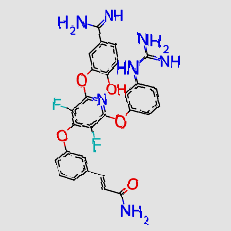 N=C(N)Nc1cccc(Oc2nc(Oc3cc(C(=N)N)ccc3O)c(F)c(Oc3cccc(C=CC(N)=O)c3)c2F)c1